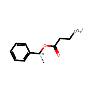 C[C@@H](OC(=O)CCC(=O)O)c1ccccc1